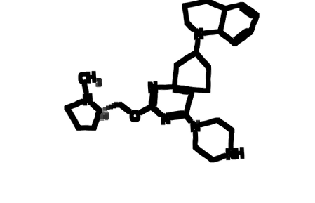 CN1CCC[C@H]1COc1nc2c(c(N3CCNCC3)n1)CCC(N1CCCC3C=CC=CC31)C2